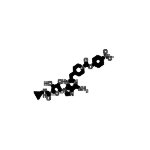 Nc1nc(CC2CCN(C(=O)Oc3ccc([N+](=O)[O-])cc3)CC2)nc2c1ncn2[C@@H]1O[C@H](C(=O)NC2CC2)C(O)C1O